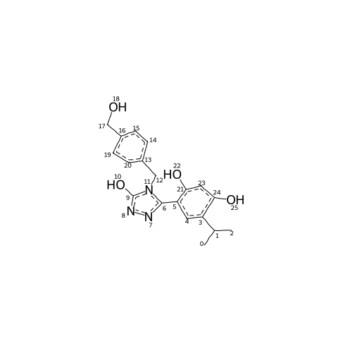 CC(C)c1cc(-c2nnc(O)n2Cc2ccc(CO)cc2)c(O)cc1O